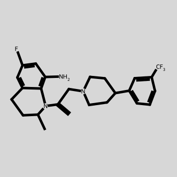 C=C(CN1CCC(c2cccc(C(F)(F)F)c2)CC1)N1c2c(N)cc(F)cc2CCC1C